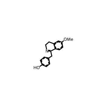 COc1ccc2c(c1)CCN=C2Cc1ccc(O)cc1